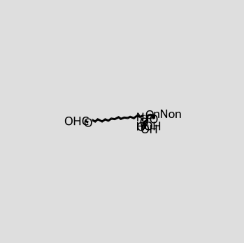 CCCCCCCCCC(=O)O[C@@H](CNCCCCCCCCCCCCCCCOC=O)COP(=O)(O)O